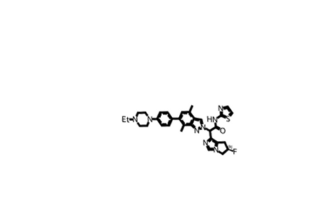 CCN1CCN(c2ccc(-c3cc(C)c4cn(C(C(=O)Nc5nccs5)c5ncn6c5C[C@@H](F)C6)nc4c3C)cc2)CC1